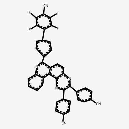 N#Cc1ccc(-c2nc3ccc4c(-c5ccc(-c6c(F)c(F)c(C#N)c(F)c6F)cc5)nc5ccccc5c4c3nc2-c2ccc(C#N)cc2)cc1